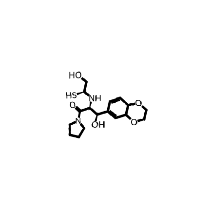 O=C([C@@H](N[C@@H](S)CO)[C@H](O)C1=CC2OCCOC2C=C1)N1CCCC1